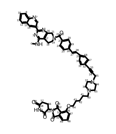 CNc1nc(-c2cnc3ccccc3c2)nc2c1CCN(C(=O)c1ccc(/C=C/c3ccc(C#CCN4CCN(CCCCCOc5cccc6c5C(=O)N(C5CCC(=O)NC5=O)C6=O)CC4)cc3)cc1)C2